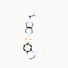 CC[C@@H](O)C(=O)N1CC2=C(C1)CN(S(=O)(=O)c1ccc3c(c1)N(C)CCO3)C2